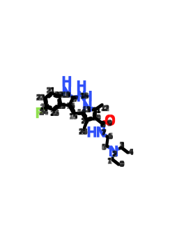 CCN(CC)CCNC(=O)c1c(C)[nH]c(/C=C2\C(=N)Nc3ccc(F)cc32)c1C